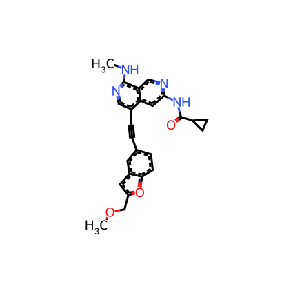 CNc1ncc(C#Cc2ccc3oc(COC)cc3c2)c2cc(NC(=O)C3CC3)ncc12